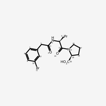 CC(C)[C@H](NC(=O)Cc1cccc(Br)c1)C(=O)N1CCC[C@H]1C(=O)O